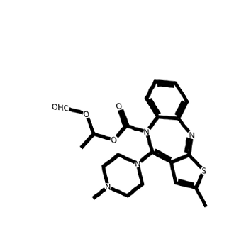 Cc1cc2c(s1)=Nc1ccccc1N(C(=O)OC(C)OC=O)C=2N1CCN(C)CC1